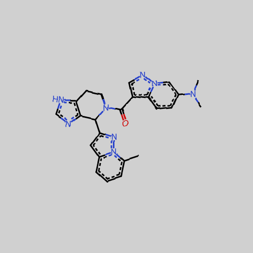 Cc1cccc2cc(C3c4nc[nH]c4CCN3C(=O)c3cnn4cc(N(C)C)ccc34)nn12